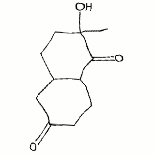 CC1(O)CCC2CC(=O)CCC2C1=O